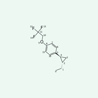 CC[C@H]1C[C@@H]1c1ccc(OCC(F)(F)F)cc1